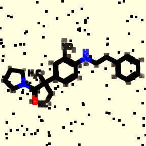 CC(CC#N)(C(=O)N1CCCC1)c1ccc(NCCc2ccccc2)c([N+](=O)[O-])c1